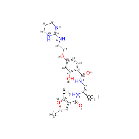 Cc1cc(C(=O)N[C@@H](CNC(=O)c2ccc(OCCNC3=NCCCN3)cc2O)C(=O)O)c(C)o1